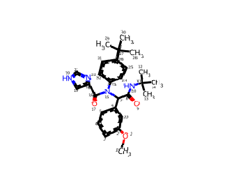 COc1cccc(C(C(=O)NC(C)(C)C)N(C(=O)c2c[nH]cn2)c2ccc(C(C)(C)C)cc2)c1